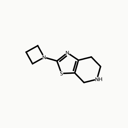 C1CN(c2nc3c(s2)CNCC3)C1